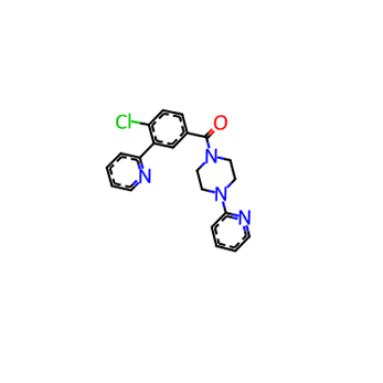 O=C(c1ccc(Cl)c(-c2ccccn2)c1)N1CCN(c2ccccn2)CC1